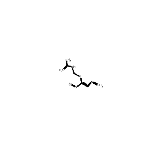 C=N/C=C(/SCC)SCNC(=C)C